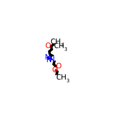 CCCOC(=O)CCn1cc(CCC(=O)C(C)C)nn1